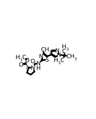 COC(=O)[C@@H]1CCCN1C(=O)Nc1nc(C)c(-c2cnn(C(C)(C)C)c2)s1